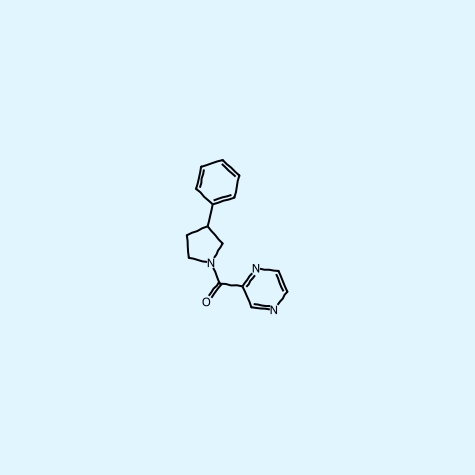 O=C(c1cnccn1)N1CCC(c2ccccc2)C1